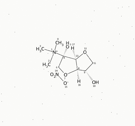 C[N+](C)(C)[C@]1(O)CO[C@@H]2[C@@H](O)CO[C@@H]21.O=[N+]([O-])[O-]